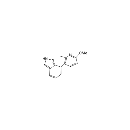 COc1ccc(-c2cccc3c[nH]nc23)c(C)n1